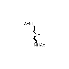 CC(=O)NCCNCCNC(C)=O